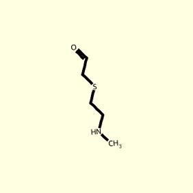 CNCCSCC=O